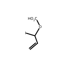 C=CC(I)OC(=O)O